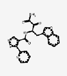 NC(=O)C(=O)C(Cc1coc2ccccc12)NC(=O)c1cnsc1-c1ccccn1